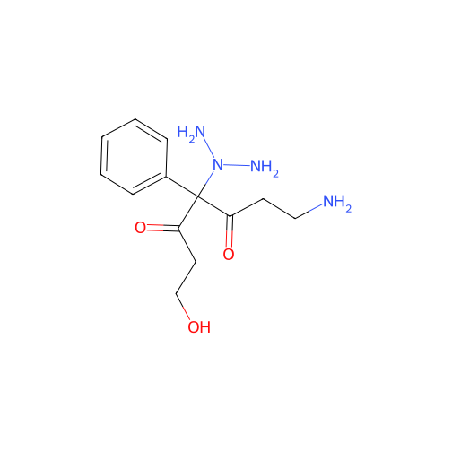 NCCC(=O)C(C(=O)CCO)(c1ccccc1)N(N)N